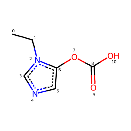 CCn1cncc1OC(=O)O